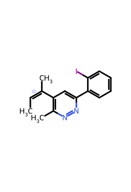 C/C=C(/C)c1cc(-c2ccccc2I)nnc1C